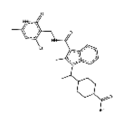 CCc1cc(C)[nH]c(=O)c1CNC(=O)c1c(C)n(C(C)C2CCN(C(=O)C(C)C)CC2)c2ccccc12